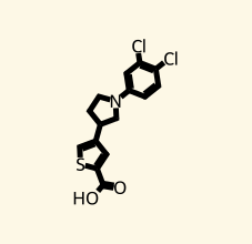 O=C(O)c1cc(C2CCN(c3ccc(Cl)c(Cl)c3)C2)cs1